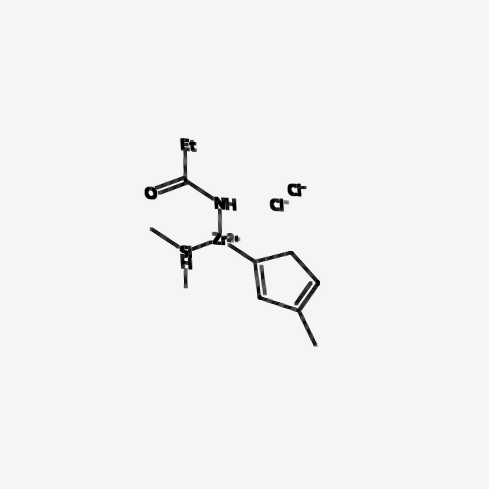 CCC(=O)[NH][Zr+2]([C]1=CC(C)=CC1)[SiH](C)C.[Cl-].[Cl-]